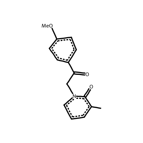 COc1ccc(C(=O)Cn2cccc(C)c2=O)cc1